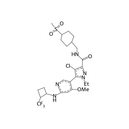 CCn1nc(C(=O)NCC2CCC(S(C)(=O)=O)CC2)c(Cl)c1-c1cnc(NC2CCC2C(F)(F)F)cc1OC